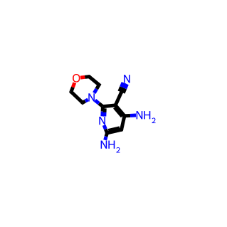 N#Cc1c(N)cc(N)nc1N1CCOCC1